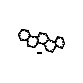 C=C.c1ccc2c(c1)ccc1c2ccc2c3ccccc3ccc21